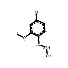 COc1cc(Cl)ccc1OBO